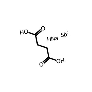 O=C(O)CCC(=O)O.[NaH].[Sb]